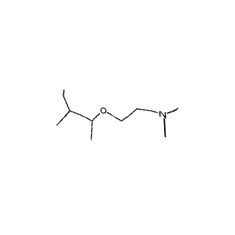 CC(C)C(C)OCCN(C)C